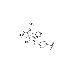 CCOC(=O)C(C)(CC)C(O)C(Oc1ccc([N+](=O)[O-])cc1)n1cccc1